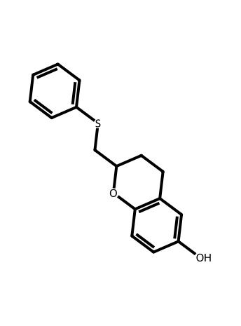 Oc1ccc2c(c1)CCC(CSc1ccccc1)O2